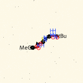 COc1ccc(COC(=O)NC2(COc3ccc4c(c3)sc3nc(-c5ccc(NC(=O)Nc6cc(C(C)(C)C)on6)cc5)cn34)CC2)cc1